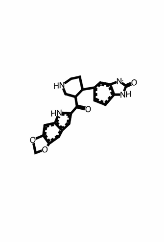 O=C1[N]c2cc(C3CCNCC3C(=O)c3cc4cc5c(cc4[nH]3)OCO5)ccc2N1